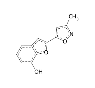 Cc1cc(-c2cc3cccc(O)c3o2)on1